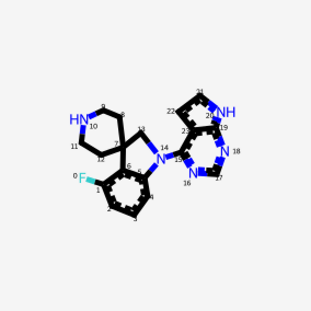 Fc1cccc2c1C1(CCNCC1)CN2c1ncnc2[nH]ccc12